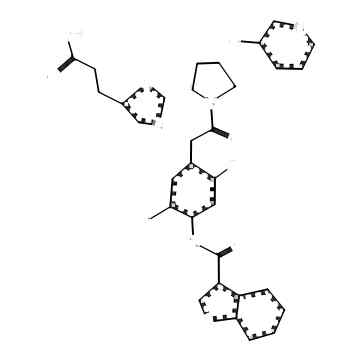 O=C(O)CCc1cnc([C@@H]2C[C@H](Oc3cccnc3)CN2C(=O)Cc2cc(Cl)c(NC(=O)c3csc4ccccc34)cc2F)s1